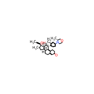 CC#C[C@]1(O)[C@H](C)C[C@H]2[C@@H]3CCC4=CC(=O)CCC4=C3[C@@H](c3ccc(N4CCOC[C@H]4C)cc3C)C[C@@]21C